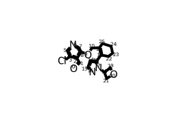 O=Cc1c(Cl)cncc1OCC1=C(c2ccnn2C2COC2)CCCC1